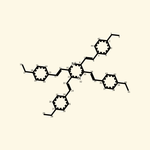 CCc1ccc(/C=C/c2nc(/C=C/c3ccc(CC)cc3)c(/C=C/c3ccc(CC)cc3)nc2/C=C/c2ccc(CC)cc2)cc1